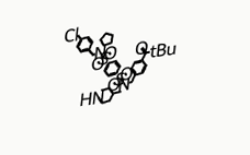 CC(C)(C)C(=O)c1ccc(CN(CC2CCNCC2)S(=O)(=O)c2ccc(S(=O)(=O)N(Cc3ccc(Cl)cc3)C3CCCC3)cc2)cc1